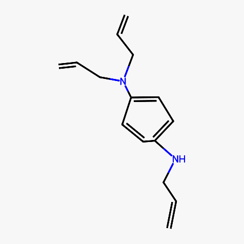 C=CCNc1ccc(N(CC=C)CC=C)cc1